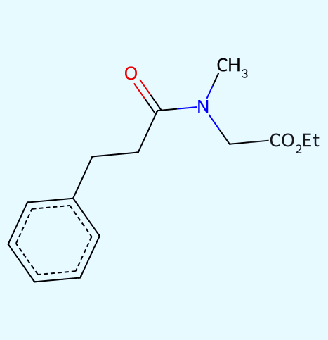 CCOC(=O)CN(C)C(=O)CCc1ccccc1